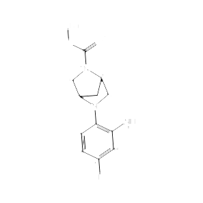 CC(C)(C)OC(=O)N1CC2CC1CN2c1ccc(F)cc1N